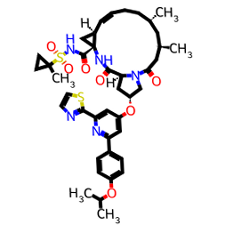 CC(C)Oc1ccc(-c2cc(O[C@@H]3C[C@H]4C(=O)N[C@]5(C(=O)NS(=O)(=O)C6(C)CC6)C[C@H]5/C=C\CC[C@H](C)C[C@@H](C)CC(=O)N4C3)cc(-c3nccs3)n2)cc1